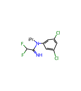 CC(C)N(C(=N)C(F)F)c1cc(Cl)cc(Cl)c1